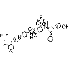 C=C(CCC(F)F)C1=C(CN2CCN(c3ccc(C(=O)NS(=O)(=O)c4ccc(N[C@H](CCN5CCC(O)C5)CSc5ccccc5)c(S(=O)(=O)C(F)(F)F)c4)cc3)CC2)CCC(C)(C)C1